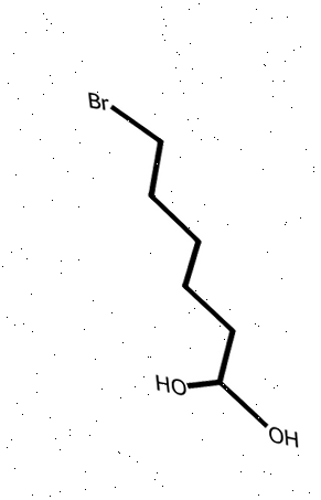 OC(O)CCCCCBr